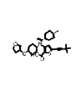 C=C([C@H]1CC[C@H](C)CC1)N(c1cc(C#CC(C)(C)C)sc1C(=O)O)[C@H]1CC[C@H](OC2CCOC2)CC1